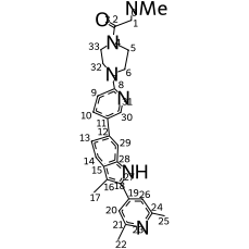 CNCC(=O)N1CCN(c2ccc(-c3ccc4c(C)c(-c5cc(C)nc(C)c5)[nH]c4c3)cn2)CC1